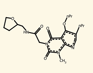 CCCOc1c(CCC)cnc2c1c(=O)n(CC(=O)NCC1CCCO1)c(=O)n2C